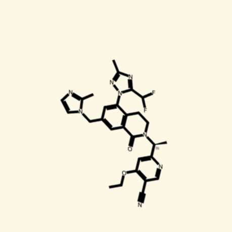 CCOc1cc([C@H](C)N2CCc3c(cc(Cn4ccnc4C)cc3-n3nc(C)nc3C(F)F)C2=O)ncc1C#N